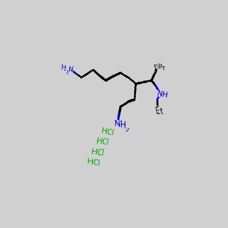 CCCC(NCC)C(CCN)CCCCN.Cl.Cl.Cl.Cl